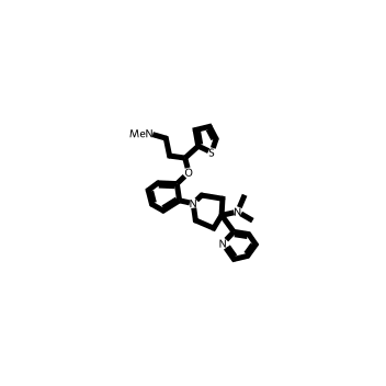 CNCCC(Oc1ccccc1N1CCC(c2ccccn2)(N(C)C)CC1)c1cccs1